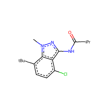 CC(C)C(=O)Nc1nn(C)c2c(C(C)(C)C)ccc(Cl)c12